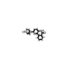 O=c1[nH]c2ccc(N3CC4CC3CN4)nc2c2ccccc12